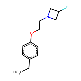 O=C(O)Cc1ccc(OCCN2CC(F)C2)cc1